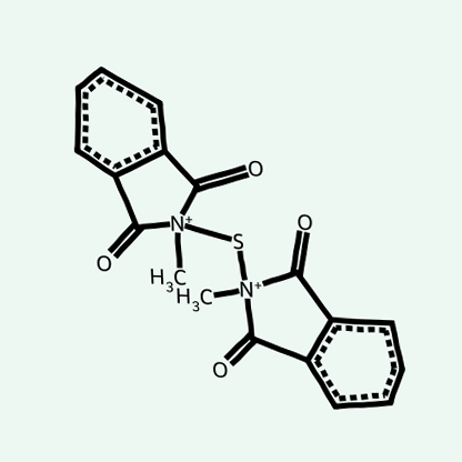 C[N+]1(S[N+]2(C)C(=O)c3ccccc3C2=O)C(=O)c2ccccc2C1=O